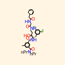 CCCN(CCC)C(=O)c1cc(C)cc(C(=O)N[C@@H](Cc2cc(F)cc(F)c2)[C@H](O)CCNC(=O)CNC(=O)CC2C=CC=CC2)c1